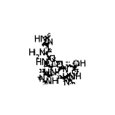 N[C@@H](Cc1c[nH]cn1)C(=O)N[C@@H](Cc1c[nH]cn1)C(=O)N[C@@H](Cc1c[nH]cn1)C(=O)NCC(=O)O